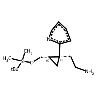 CC(C)(C)[Si](C)(C)OC[C@H]1C[C@]1(CCN)c1ccccn1